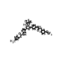 Cn1cc(CC(=O)Nc2nnc(C3CCN(c4ccc(NC(=O)Cc5cccc(OC(F)(F)F)c5)nn4)C3)s2)cn1.O=C(O)C(F)(F)F